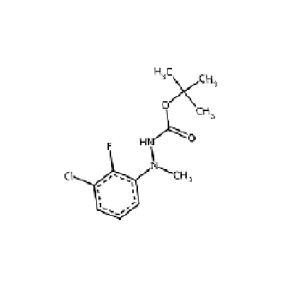 CN(NC(=O)OC(C)(C)C)c1cccc(Cl)c1F